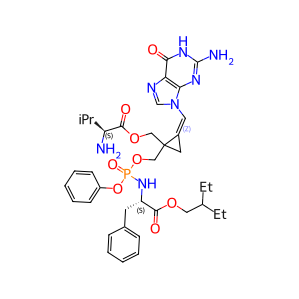 CCC(CC)COC(=O)[C@H](Cc1ccccc1)NP(=O)(OCC1(COC(=O)[C@@H](N)C(C)C)C/C1=C/n1cnc2c(=O)[nH]c(N)nc21)Oc1ccccc1